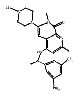 CCN1CCN(c2cc3c(N[C@H](C)c4cc(N)cc(C(F)(F)F)c4)nc(C)nc3c(=O)n2C)CC1